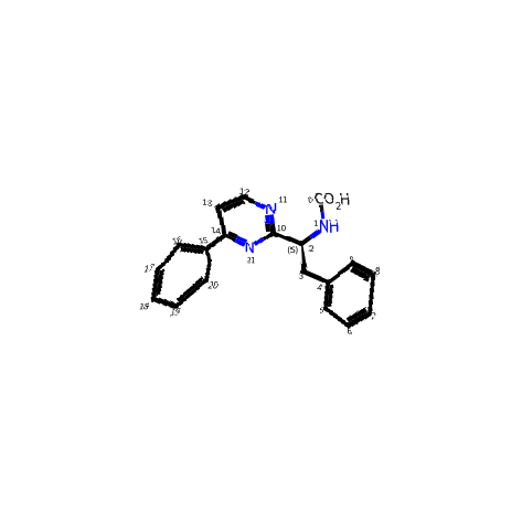 O=C(O)N[C@@H](Cc1ccccc1)c1nccc(-c2ccccc2)n1